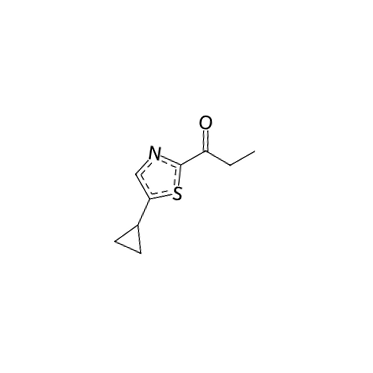 CCC(=O)c1ncc(C2CC2)s1